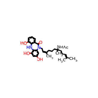 CC(=O)NC(C)(CCC=C(C)C)CCCC(C)=CCN1C(=O)c2cccc(O)c2Nc2c(O)cc(O)cc21